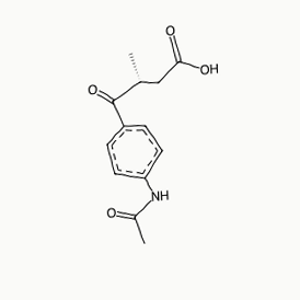 CC(=O)Nc1ccc(C(=O)[C@H](C)CC(=O)O)cc1